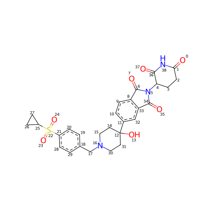 O=C1CCC(N2C(=O)c3ccc(C4(O)CCN(Cc5ccc(S(=O)(=O)C6CC6)cc5)CC4)cc3C2=O)C(=O)N1